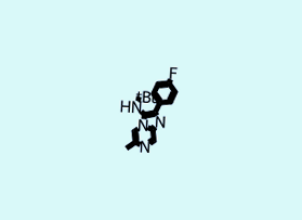 Cc1cn2c(NC(C)(C)C)c(-c3ccc(F)cc3)nc2cn1